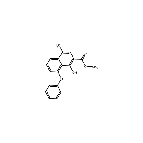 COC(=O)c1nc(C)c2cccc(Oc3ccccc3)c2c1O